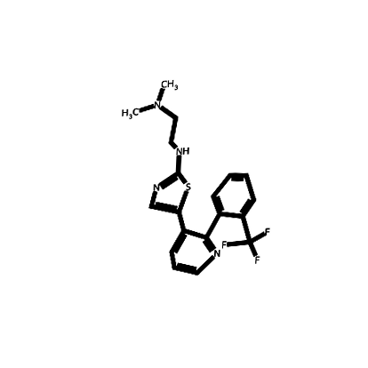 CN(C)CCNc1ncc(-c2cccnc2-c2ccccc2C(F)(F)F)s1